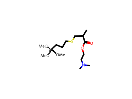 CO[Si](CCCSCC(C)C(=O)OCCN(C)C)(OC)OC